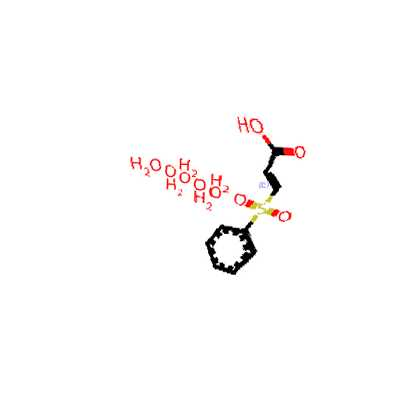 O.O.O.O.O.O=C(O)/C=C/S(=O)(=O)c1ccccc1